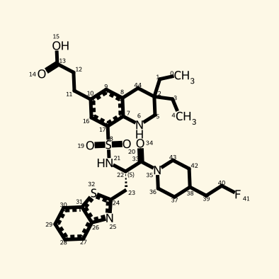 CCC1(CC)CNc2c(cc(CCC(=O)O)cc2S(=O)(=O)N[C@@H](Cc2nc3ccccc3s2)C(=O)N2CCC(CCF)CC2)C1